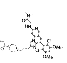 C=CC(=O)N1CCN(CCCc2cn3c(n2)c(-c2c(Cl)c(OC)cc(OC)c2Cl)cc2cnc(NCC(=O)N(C)C)cc23)CC1